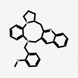 COc1ccccc1CN1Cc2cc3ccccc3nc2CC2CCCN2c2ccccc21